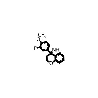 NC1(c2ccc(OC(F)(F)F)c(F)c2)CCOc2ccccc21